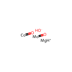 [MgH+].[OH-].[O]=[Co].[O]=[Mo]